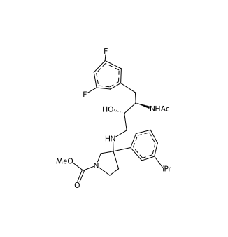 COC(=O)N1CCC(NC[C@H](O)[C@@H](Cc2cc(F)cc(F)c2)NC(C)=O)(c2cccc(C(C)C)c2)C1